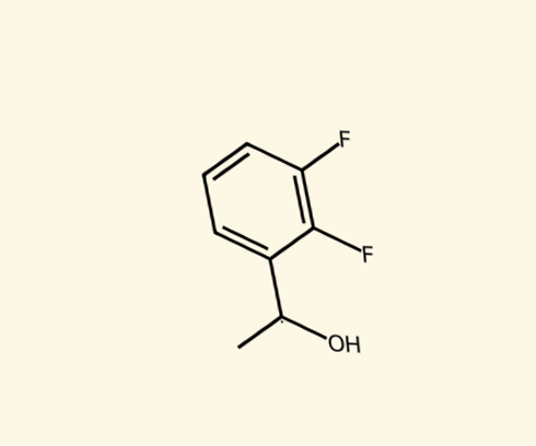 C[C](O)c1cccc(F)c1F